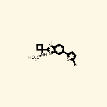 O=C(O)NC1(c2nc3cc(-c4ccc(Br)s4)ccc3[nH]2)CCC1